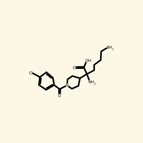 BCCCCC(N)(C(=O)O)C1CCN(C(=O)c2ccc(Cl)cc2)CC1